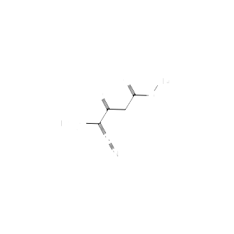 CC(C)(C)OC(=O)CC(=O)C(=[N+]=[N-])C(=O)O